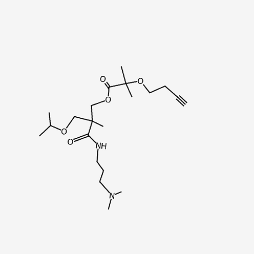 C#CCCOC(C)(C)C(=O)OCC(C)(COC(C)C)C(=O)NCCCN(C)C